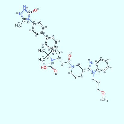 COCCCn1c([C@@H]2CCCN(C(=O)C[C@@H](Cc3ccc(-c4ccc(-n5c(C)n[nH]c5=O)cc4)cc3)N(C(=O)O)C(C)(C)C)C2)nc2ccccc21